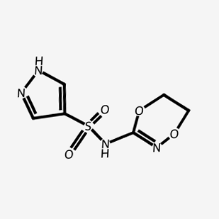 O=S(=O)(NC1=NOCCO1)c1cn[nH]c1